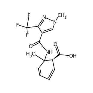 Cn1cc(C(=O)NC2(C)C=CC=C[C@@H]2C(=O)O)c(C(F)(F)F)n1